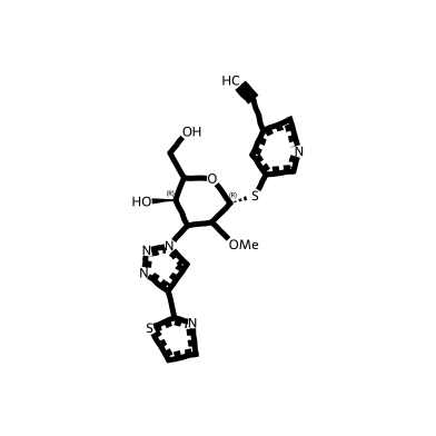 C#Cc1cncc(S[C@H]2OC(CO)[C@H](O)C(n3cc(-c4nccs4)nn3)C2OC)c1